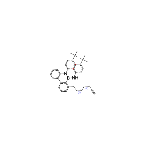 C#C/C=C\C=C/Cc1cccc2c1B(Nc1ccc(C(C)(C)C)cc1)N(c1ccc(C(C)(C)C)cc1)c1ccccc1-2